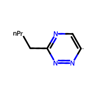 CCCCc1nc[c]nn1